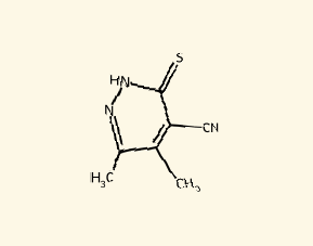 Cc1n[nH]c(=S)c(C#N)c1C